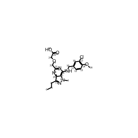 CCCc1nn(C)c2c(NCc3ccc(OC)c(Cl)c3)nc(COCC(=O)O)nc12